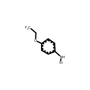 CCNc1ccc(OCC(F)(F)F)cc1